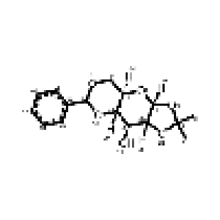 CC1(C)O[C@H]2O[C@@H]3COC(c4ccccc4)O[C@H]3[C@H](O)[C@H]2O1